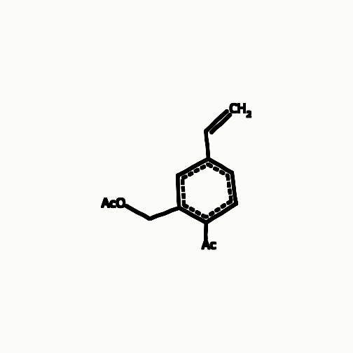 C=Cc1ccc(C(C)=O)c(COC(C)=O)c1